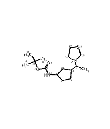 CC(C1CCC(NC(=O)OC(C)(C)C)C1)N1CCSC1